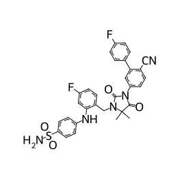 CC1(C)C(=O)N(c2ccc(C#N)c(-c3ccc(F)cc3)c2)C(=O)N1Cc1ccc(F)cc1Nc1ccc(S(N)(=O)=O)cc1